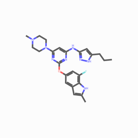 CCCc1cc(Nc2cc(N3CCN(C)CC3)nc(Oc3cc(F)c4[nH]c(C)cc4c3)n2)n[nH]1